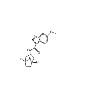 COc1ccc2c(C(=O)N[C@H]3C[C@H]4CC[C@@H](C3)N4C)nsc2c1